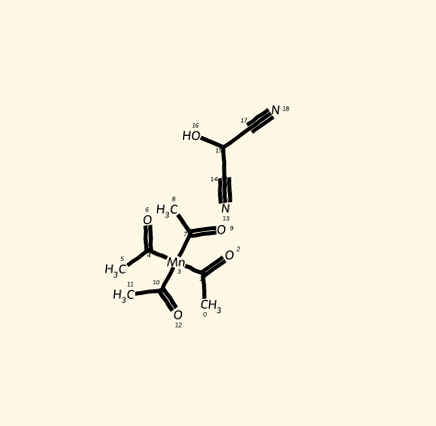 C[C](=O)[Mn]([C](C)=O)([C](C)=O)[C](C)=O.N#CC(O)C#N